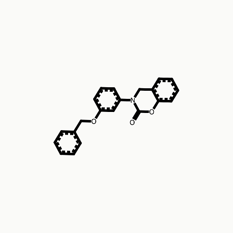 O=C1Oc2ccccc2CN1c1cccc(OCc2ccccc2)c1